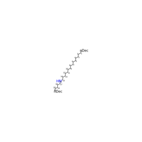 CCCCCCCCCCCCCCCCCCCCCCCCCNCCCCCCCCCCCCCC